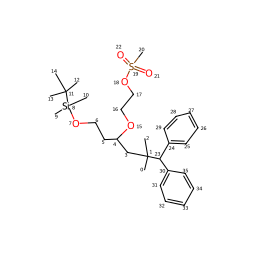 CC(C)(CC(CCO[Si](C)(C)C(C)(C)C)OCCOS(C)(=O)=O)C(c1ccccc1)c1ccccc1